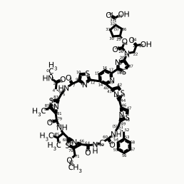 CNC(=O)C[C@@H]1NC(=O)c2csc(n2)-c2ccc(-c3nc(N(CC(=O)O)C(=O)O[C@H]4CC[C@H](C(=O)O)C4)cs3)nc2-c2csc(n2)-c2csc(n2)[C@H](Cc2ccccc2)NC(=O)CNC(=O)c2nc(sc2COC)C(C(C)C)NC(=O)c2nc1sc2C